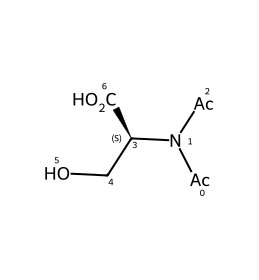 CC(=O)N(C(C)=O)[C@@H](CO)C(=O)O